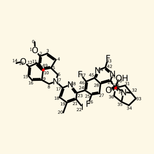 COc1ccc(CN(Cc2ccc(OC)cc2)c2cc(C)c(I)c(-c3c(F)cc4c(N5CC6CCC(C5)N6C(=O)O)nc(F)nc4c3F)n2)cc1